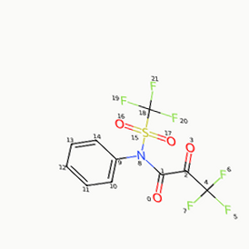 O=C(C(=O)C(F)(F)F)N(c1ccccc1)S(=O)(=O)C(F)(F)F